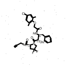 C#CCNC(=O)[C@@H]1CC(F)(F)CN1C(=O)[C@@H](O)[C@H](Cc1ccccc1)NC(=O)COc1c(C)cc(Cl)cc1C